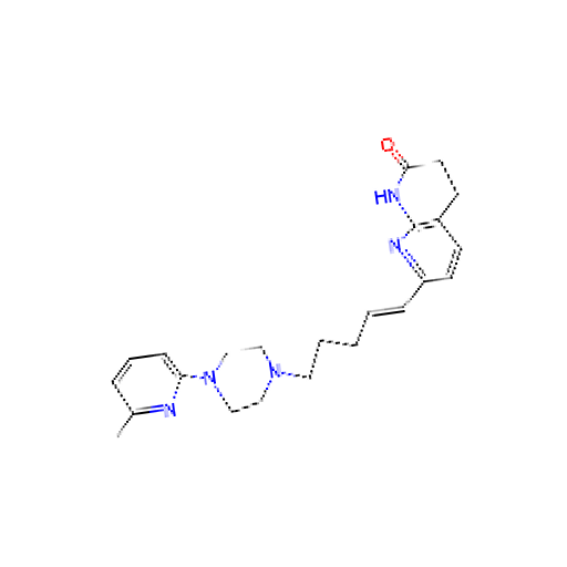 Cc1cccc(N2CCN(CCCC=Cc3ccc4c(n3)NC(=O)CC4)CC2)n1